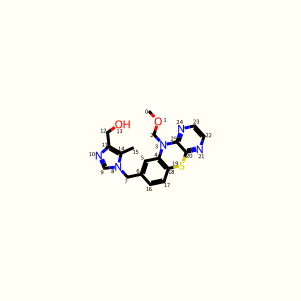 COCN1c2cc(Cn3cnc(CO)c3C)ccc2Sc2nccnc21